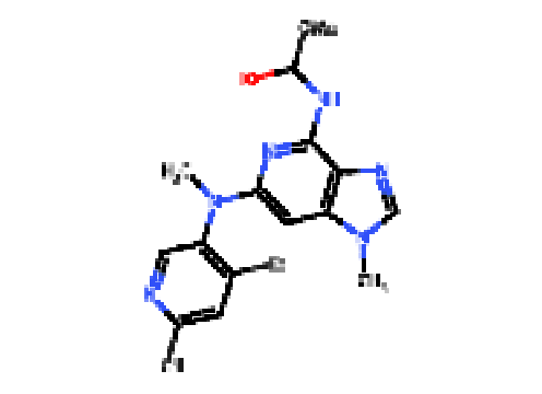 CCc1cc(C#N)ncc1N(C)c1cc2c(ncn2C)c(NC(O)OC)n1